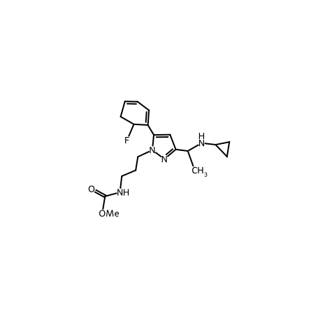 COC(=O)NCCCn1nc(C(C)NC2CC2)cc1C1=CC=CCC1F